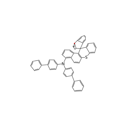 c1ccc(-c2ccc(N(c3ccc(-c4ccccc4)cc3)c3cccc4c5c(ccc34)Sc3ccccc3C53c4ccccc4-c4ccccc43)cc2)cc1